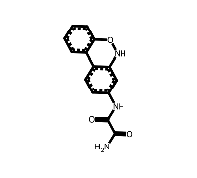 NC(=O)C(=O)Nc1ccc2c(c1)NOc1ccccc1-2